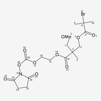 COCC(C)(COC(=O)C(C)(C)Br)C(=O)OCCOC(=O)ON1C(=O)CCC1=O